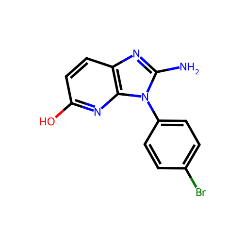 Nc1nc2ccc(O)nc2n1-c1ccc(Br)cc1